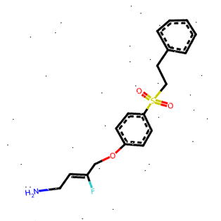 NCC=C(F)COc1ccc(S(=O)(=O)CCc2ccccc2)cc1